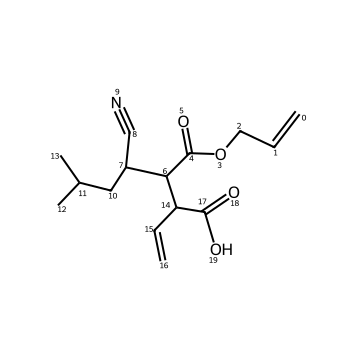 C=CCOC(=O)C(C(C#N)CC(C)C)C(C=C)C(=O)O